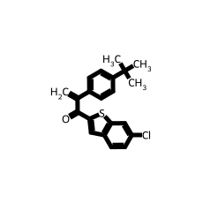 C=C(C(=O)c1cc2ccc(Cl)cc2s1)c1ccc(C(C)(C)C)cc1